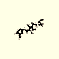 CCC(NC(=O)C(=O)c1c(Cl)c(C(=O)Nc2ccc(F)c(C#N)c2)n(C)c1C)C(F)(F)F